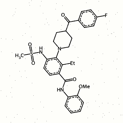 CCc1c(C(=O)Nc2ccccc2OC)ccc(NS(C)(=O)=O)c1N1CCC(C(=O)c2ccc(F)cc2)CC1